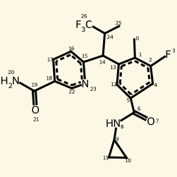 Cc1c(F)cc(C(=O)NC2CC2)cc1C(c1ccc(C(N)=O)cn1)C(C)C(F)(F)F